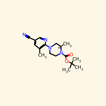 Cc1cc(C#N)cnc1N1CCN(C(=O)OC(C)(C)C)[C@H](C)C1